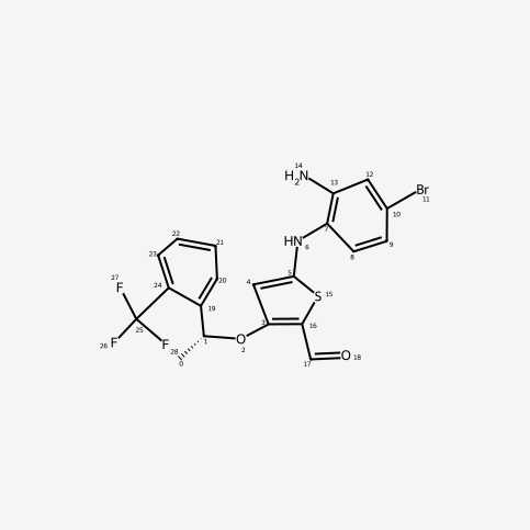 C[C@@H](Oc1cc(Nc2ccc(Br)cc2N)sc1C=O)c1ccccc1C(F)(F)F